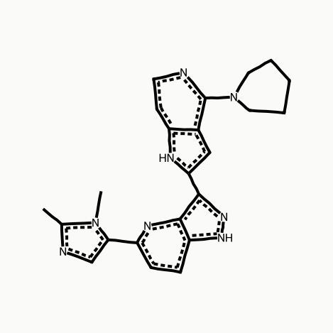 Cc1ncc(-c2ccc3[nH]nc(-c4cc5c(N6CCCCC6)nccc5[nH]4)c3n2)n1C